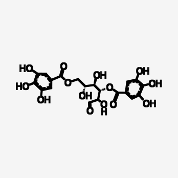 O=C[C@H](O)[C@@H](OC(=O)c1cc(O)c(O)c(O)c1)[C@H](O)[C@H](O)COC(=O)c1cc(O)c(O)c(O)c1